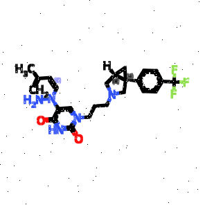 C=C(C)/C=C\N(N)c1cn(CCCN2C[C@@H]3C[C@]3(c3ccc(C(F)(F)F)cc3)C2)c(=O)[nH]c1=O